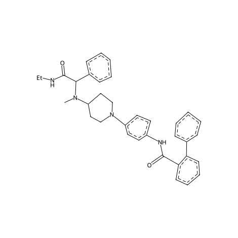 CCNC(=O)C(c1ccccc1)N(C)C1CCN(c2ccc(NC(=O)c3ccccc3-c3ccccc3)cc2)CC1